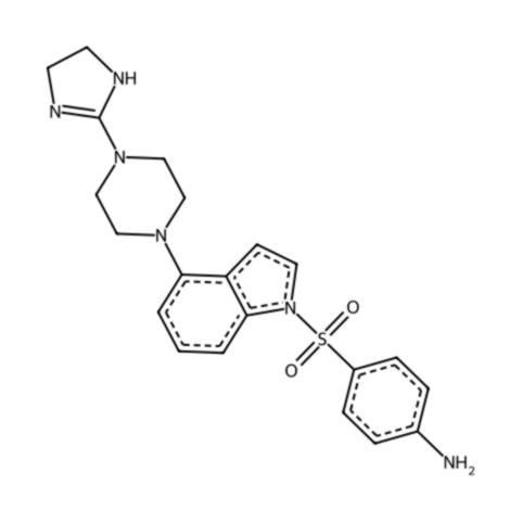 Nc1ccc(S(=O)(=O)n2ccc3c(N4CCN(C5=NCCN5)CC4)cccc32)cc1